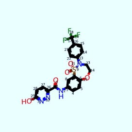 O=C(Nc1ccc2c(c1)S(=O)(=O)N(c1ccc(C(F)(F)F)cc1)CCO2)c1ccc(O)nn1